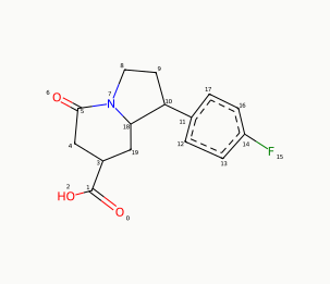 O=C(O)C1CC(=O)N2CCC(c3ccc(F)cc3)C2C1